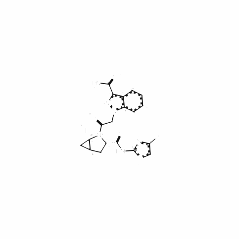 NC(=O)c1nn(CC(=O)N2[C@@H]3C[C@@H]3C[C@H]2C(=O)Nc2nc(Br)cs2)c2ccccc12